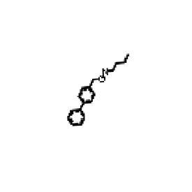 CCCC=NOCc1ccc(-c2ccccc2)cc1